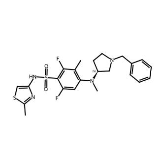 Cc1nc(NS(=O)(=O)c2c(F)cc(N(C)[C@H]3CCN(Cc4ccccc4)C3)c(C)c2F)cs1